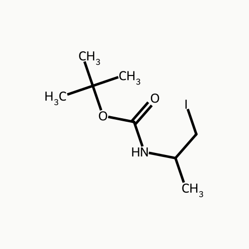 CC(CI)NC(=O)OC(C)(C)C